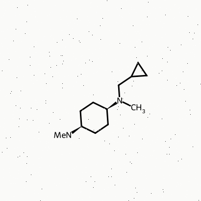 CN[C@H]1CC[C@@H](N(C)CC2CC2)CC1